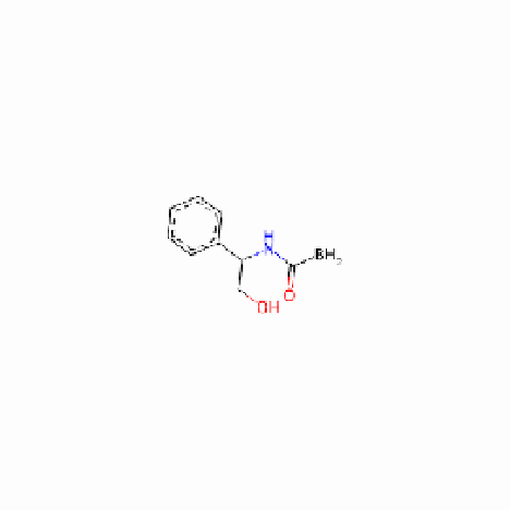 BC(=O)NC(CO)c1ccccc1